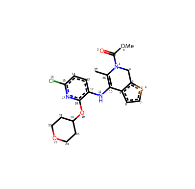 COC(=O)N1Cc2sccc2C(Nc2ccc(Cl)nc2OC2CCOCC2)=C1C